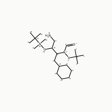 CC(C)(C)ON(C=O)C(CC1CCCCC1)C(CN)O[Si](C)(C)C(C)(C)C